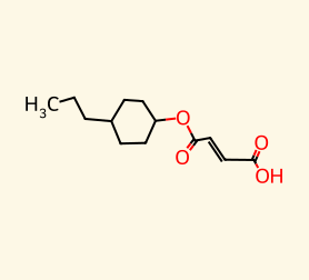 CCCC1CCC(OC(=O)/C=C/C(=O)O)CC1